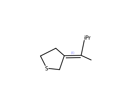 C/C(=C1/CCSC1)C(C)C